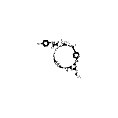 CC1(C)CNC(=O)c2ccc(nc2)Nc2cc(nc(OCC(F)(F)F)n2)NCc2ccc(cc2)OCCCN(C(=O)C(=O)Nc2ccc(C#N)cc2)C1